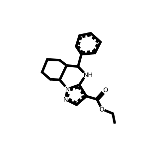 CCOC(=O)c1cnn2c1NC(c1ccccc1)C1CCCCC12